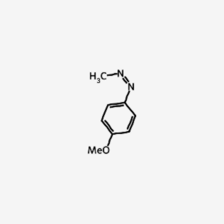 C/N=N\c1ccc(OC)cc1